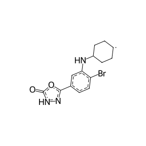 O=c1[nH]nc(-c2ccc(Br)c(NC3CC[CH]CC3)c2)o1